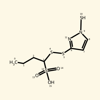 CCCC(SSc1ccn(S)n1)S(=O)(=O)O